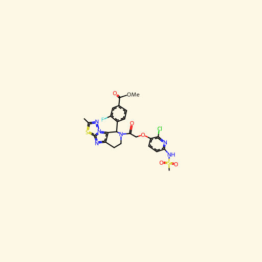 COC(=O)c1ccc(C2c3c(nc4sc(C)nn34)CCN2C(=O)COc2ccc(NS(C)(=O)=O)nc2Cl)c(F)c1